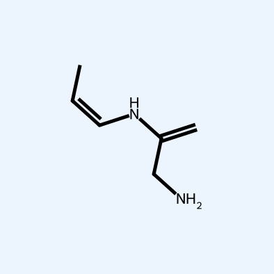 C=C(CN)N/C=C\C